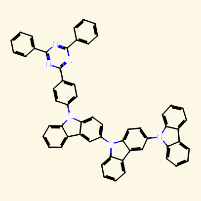 c1ccc(-c2nc(-c3ccccc3)nc(-c3ccc(-n4c5ccccc5c5cc(-n6c7ccccc7c7cc(-n8c9ccccc9c9ccccc98)ccc76)ccc54)cc3)n2)cc1